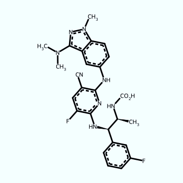 C[C@H](NC(=O)O)[C@H](Nc1nc(Nc2ccc3c(c2)c(N(C)C)nn3C)c(C#N)cc1F)c1cccc(F)c1